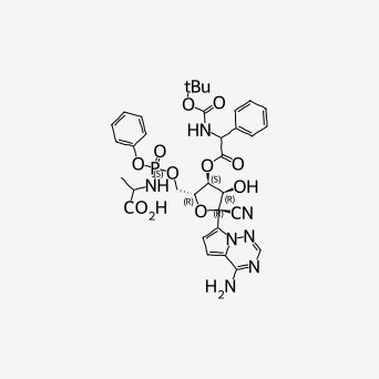 CC(N[P@](=O)(OC[C@H]1O[C@@](C#N)(c2ccc3c(N)ncnn23)[C@H](O)[C@@H]1OC(=O)C(NC(=O)OC(C)(C)C)c1ccccc1)Oc1ccccc1)C(=O)O